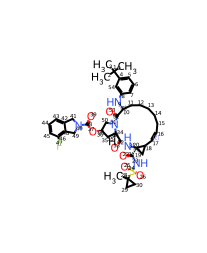 CC(C)(C)c1cccc(N[C@H]2CCCCC/C=C\C3C[C@@]3(C(=O)NS(=O)(=O)C3(C)CC3)NC(=O)[C@@H]3C[C@@H](OC(=O)N4Cc5cccc(F)c5C4)CN3C2=O)c1